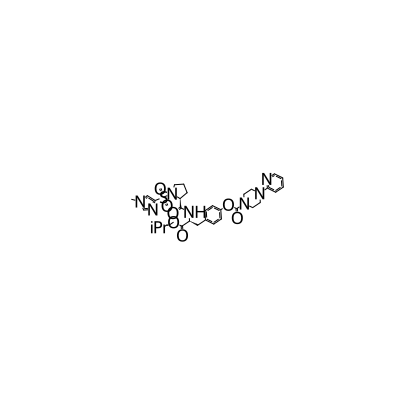 CC(C)OC(=O)[C@H](Cc1ccc(OC(=O)N2CCN(c3ccccn3)CC2)cc1)NC(=O)[C@@H]1CCCN1S(=O)(=O)c1cn(C)cn1